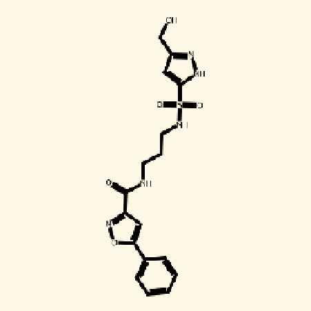 O=C(NCCCNS(=O)(=O)c1cc(CO)n[nH]1)c1cc(-c2ccccc2)on1